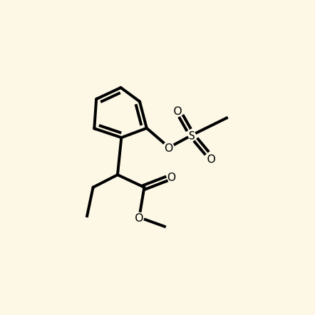 CCC(C(=O)OC)c1ccccc1OS(C)(=O)=O